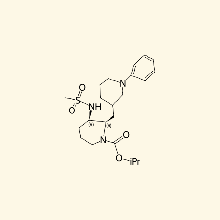 CC(C)OC(=O)N1CCC[C@@H](NS(C)(=O)=O)[C@H]1CC1CCCN(c2ccccc2)C1